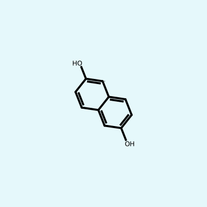 Oc1[c]c2ccc(O)cc2cc1